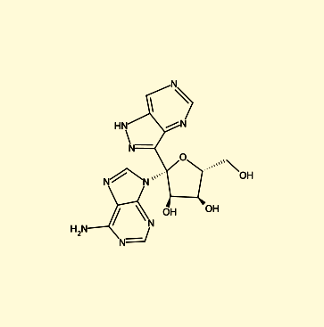 Nc1ncnc2c1ncn2[C@]1(c2n[nH]c3cncnc23)O[C@H](CO)[C@@H](O)[C@H]1O